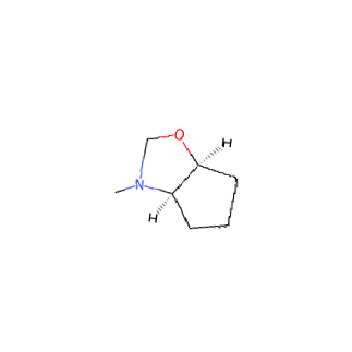 CN1CO[C@H]2CCC[C@H]21